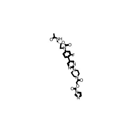 CC(=O)NC[C@H]1CN(c2ccc(-c3cnc(N4CCN(C(=O)COC(=O)n5ccnc5)CC4)nc3)c(F)c2)C(=O)O1